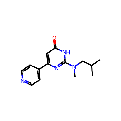 CC(C)CN(C)c1nc(-c2ccncc2)cc(=O)[nH]1